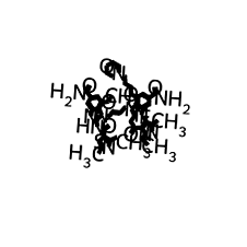 CCc1nc(C)sc1C(=O)Nc1nc2cc(C(N)=O)cc(OC)c2n1C/C=C/Cn1c(CC(=O)c2c(F)c(C)nn2CC)nc2cc(C(N)=O)cc(OCCCN3CCOCC3)c21